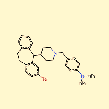 CCCN(CCC)c1ccc(CN2CCC(C3c4ccccc4CCc4ccc(Br)cc43)CC2)cc1